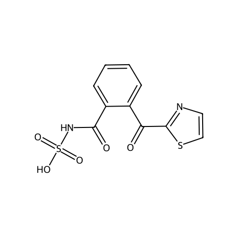 O=C(NS(=O)(=O)O)c1ccccc1C(=O)c1nccs1